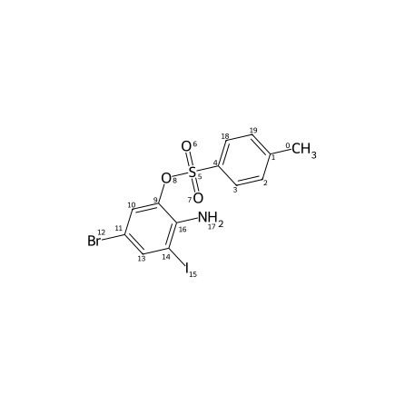 Cc1ccc(S(=O)(=O)Oc2cc(Br)cc(I)c2N)cc1